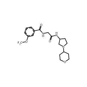 O=C(CNC(=O)c1cccc(OC(F)(F)F)c1)NC1CCN(C2CCOCC2)C1